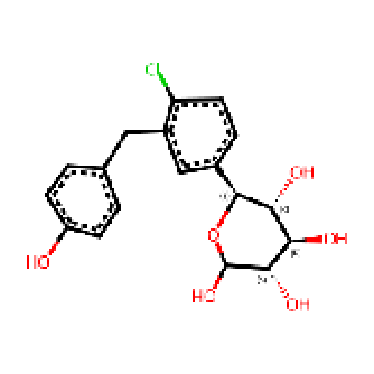 Oc1ccc(Cc2cc([C@@H]3OC(O)[C@@H](O)[C@H](O)[C@H]3O)ccc2Cl)cc1